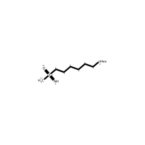 CCCCCCCCCCCCS(C)(=N)=O